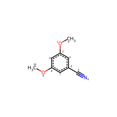 COc1cc(C#N)cc(OC)c1